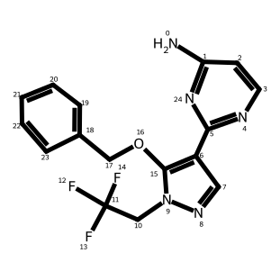 Nc1ccnc(-c2cnn(CC(F)(F)F)c2OCc2ccccc2)n1